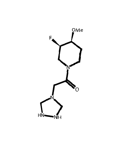 CO[C@H]1CCN(C(=O)CN2CNNC2)C[C@H]1F